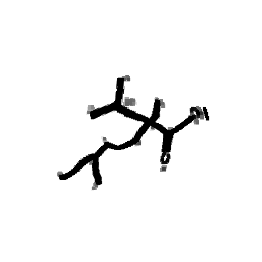 CC(C)CCC(C)(C(=O)O)C(C)C